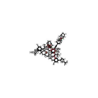 COC(=O)N[C@H](C(=O)N[C@@H](Cc1ccc(C#Cc2cnc(N3CC4CCC(C3)N4C3COC3)nc2)cc1)[C@H](CN(Cc1c(F)cc(-c2ccn(C(F)F)n2)cc1F)NC(=O)[C@@H](NC(=O)OC)C(C)(C)C(F)(F)F)OC(=O)CC(C)(C)c1c(CC(=O)NC23CC4CC(C2)CC(C(=O)O)(C4)C3)cc(C)cc1OP(=O)(O)O)C(C)(C)C(F)(F)F